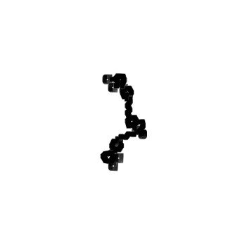 O=C1CCc2cc(CCCCN3CCN(c4cccc(Cl)c4Cl)CC3)ccc2N1CCCCN1CCN(c2cccc(Cl)c2Cl)CC1